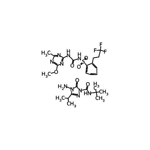 CC(C)c1nn(C(=O)NC(C)(C)C)c(=O)n1N.COc1nc(C)nc(NC(=O)NS(=O)(=O)c2ccccc2CCC(F)(F)F)n1